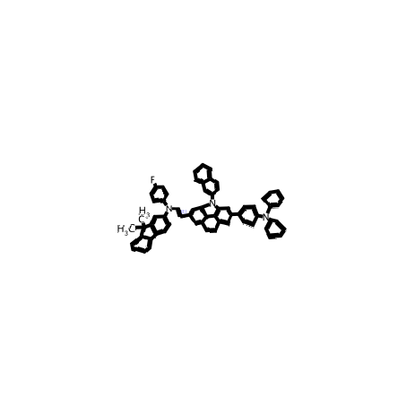 CC1(C)c2ccccc2-c2ccc(N(/C=C/c3cc4ccc5cc(-c6ccc(N(c7ccccc7)c7ccccc7)cc6)cc6c5c4c(c3)n6-c3ccc4ccccc4c3)c3ccc(F)cc3)cc21